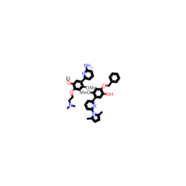 CCOc1cc(-c2cccc(N)n2)c(OC)cc1OCCN(C)C.COc1cc(OCc2ccccc2)c(O)cc1-c1cccc(-n2c(C)ccc2C)n1